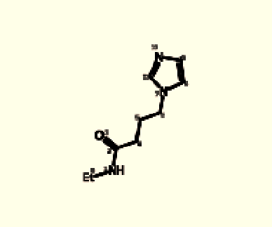 CCNC(=O)CCCn1c[c]nc1